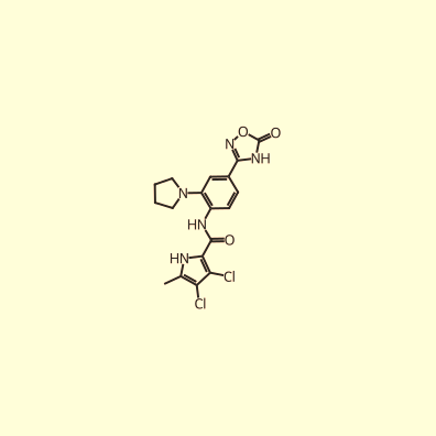 Cc1[nH]c(C(=O)Nc2ccc(-c3noc(=O)[nH]3)cc2N2CCCC2)c(Cl)c1Cl